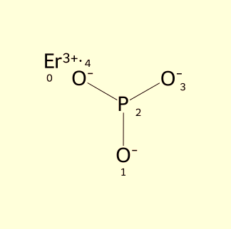 [Er+3].[O-]P([O-])[O-]